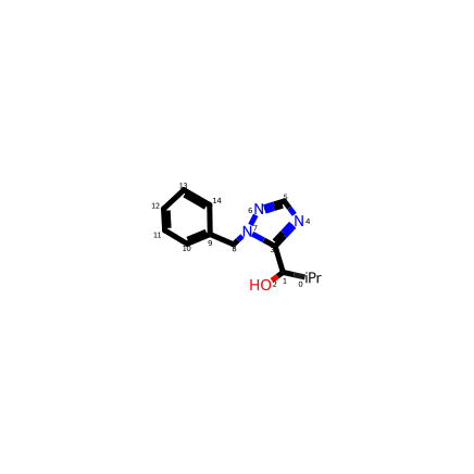 CC(C)C(O)c1ncnn1Cc1ccccc1